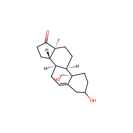 C[C@]12CC[C@@H]3[C@@H](CC=C4CC(O)CC[C@@]43CO)[C@@H]1CCC2=O